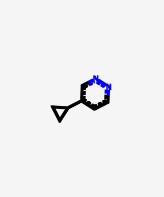 c1cc(C2CC2)cnn1